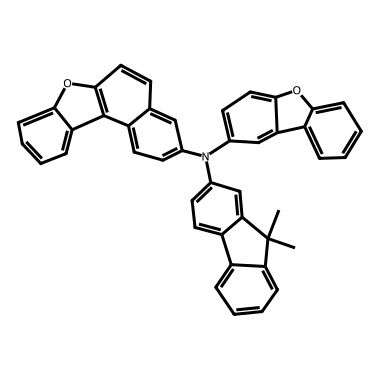 CC1(C)c2ccccc2-c2ccc(N(c3ccc4c(ccc5oc6ccccc6c54)c3)c3ccc4oc5ccccc5c4c3)cc21